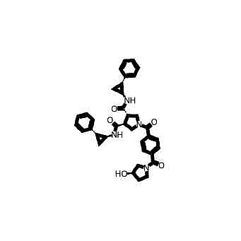 O=C(N[C@H]1C[C@@H]1c1ccccc1)[C@@H]1CN(C(=O)c2ccc(C(=O)N3CC[C@@H](O)C3)cc2)C[C@H]1C(=O)N[C@H]1C[C@@H]1c1ccccc1